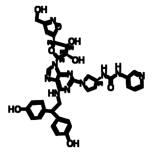 O=C(Nc1cccnc1)N[C@@H]1CCN(c2nc(NCC(c3ccc(O)cc3)c3ccc(O)cc3)c3ncn([C@@H]4O[C@H](c5cc(CO)no5)[C@@H](O)[C@H]4O)c3n2)C1